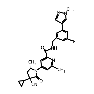 Cc1cc(N2C(=O)[C@](C#N)(C3CC3)C[C@@H]2C)cc(C(=O)NCc2cc(F)cc(-c3cnn(C)c3)c2)n1